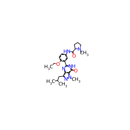 CCOc1ccc(NC(=O)C2CCCN2C)cc1-c1nc2c(CC(C)C)nn(C)c2c(=O)[nH]1